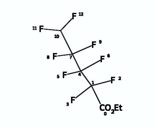 CCOC(=O)C(F)(F)C(F)(F)C(F)(F)C(F)F